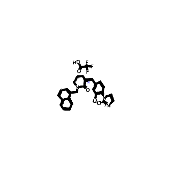 COc1cc(/C=C2/CCCN(Cc3cccc4ccccc34)C2=O)ccc1-n1ccnc1.O=C(O)C(F)(F)F